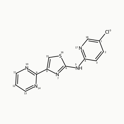 Clc1ccc(Nc2nc(-c3ncccn3)cs2)nc1